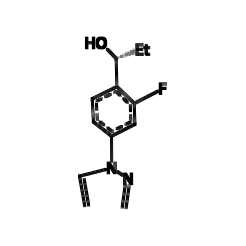 C=CN(N=C)c1ccc([C@H](O)CC)c(F)c1